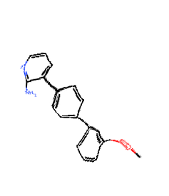 COc1cccc(-c2ccc(-c3cccnc3N)cc2)c1